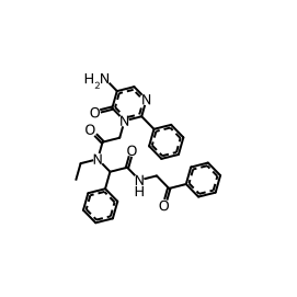 CCN(C(=O)Cn1c(-c2ccccc2)ncc(N)c1=O)C(C(=O)NCC(=O)c1ccccc1)c1ccccc1